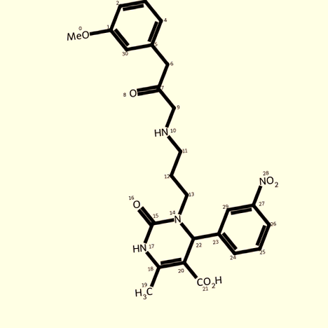 COc1cccc(CC(=O)CNCCCN2C(=O)NC(C)=C(C(=O)O)C2c2cccc([N+](=O)[O-])c2)c1